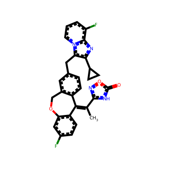 CC(=C1c2ccc(Cc3c(C4CC4)nc4c(F)cccn34)cc2COc2cc(F)ccc21)c1noc(=O)[nH]1